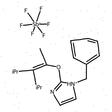 CC(OC1=NC=C[NH+]1Cc1ccccc1)=C(C(C)C)C(C)C.[F][Sb-]([F])([F])([F])([F])[F]